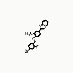 Cc1cc(-c2cn3ccccc3n2)ccc1OCc1ccc(Br)cc1F